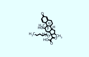 CCCCCO[C@]1(C(=O)C(=O)O)C(C)C[C@H]2[C@@H]3CCC4=CC(=O)C=C[C@]4(C)[C@@]3(F)C(O)C[C@@]21C